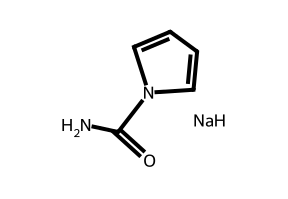 NC(=O)n1cccc1.[NaH]